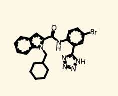 O=C(Nc1ccc(Br)cc1-c1nnn[nH]1)c1cc2ccccc2n1CC1CCCCC1